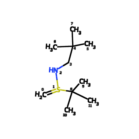 C=S(NCC(C)(C)C)C(C)(C)C